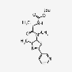 CC1N=C(c2cccnc2)SC1N(C)C(=O)[C@H](C)NC(=O)OC(C)(C)C